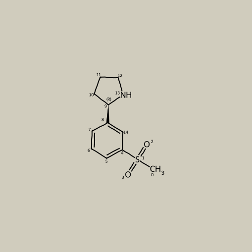 CS(=O)(=O)c1cccc([C@H]2CCCN2)c1